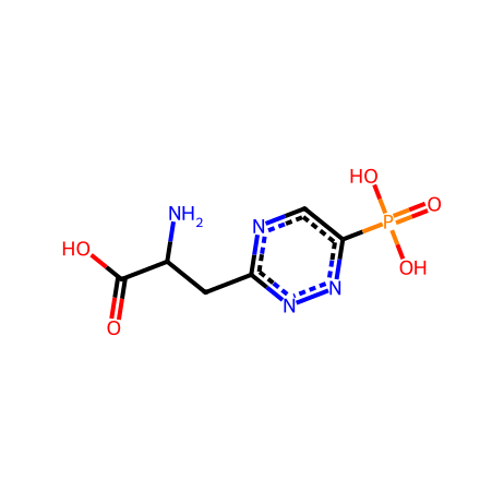 NC(Cc1ncc(P(=O)(O)O)nn1)C(=O)O